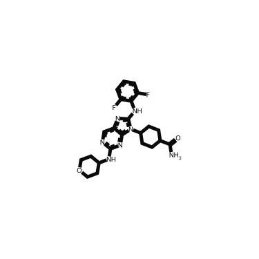 NC(=O)C1CCC(n2c(Nc3c(F)cccc3F)nc3cnc(NC4CCOCC4)nc32)CC1